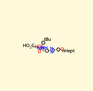 CCCCCCCOc1ccc(-c2cnc(-c3ccc(C[C@H](NC(O)c4ccc(C(C)(C)C)cc4)C(=O)NCCCC(=O)O)cc3)nc2)cc1